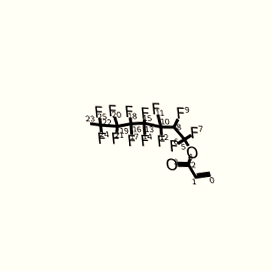 C=CC(=O)OC(F)(F)C(F)C(F)(F)C(F)(F)C(F)(F)C(F)(F)C(C)(F)F